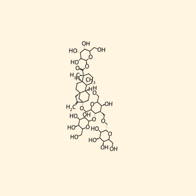 C=C1C[C@@]23CC[C@H]4[C@@](C)(CCC[C@@]4(C)C(=O)O[C@@H]4OC(CO)[C@@H](O)[C@@H](O)C4O)[C@@H]2CC[C@]1(OCC1OC(CO)[C@@H](O)[C@@H](COC[C@@H]2OC(CO)[C@@H](O)[C@@H](O)C2O)[C@@H]1OC1OC(CO)[C@@H](O)[C@@H](O)[C@@H]1O)C3